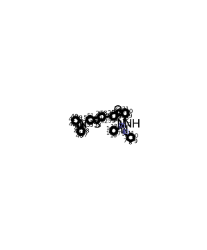 N=C(/N=C(\N=C\c1ccccc1)c1ccccc1)c1cccc2oc3cc(-c4ccc5c(c4)sc4cc(-n6c7ccccc7c7ccccc76)ccc45)ccc3c12